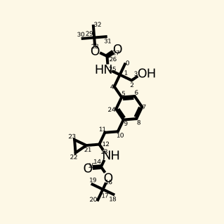 CC(CO)(Cc1cccc(CCC(NC(=O)OC(C)(C)C)C2CC2)c1)NC(=O)OC(C)(C)C